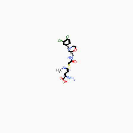 C=N/C(=C\C=C(/N)C(=O)O)SCC(=O)NC[C@H]1CN(Cc2ccc(Cl)c(Cl)c2)CCO1